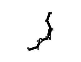 C[CH]/C=N\OCC